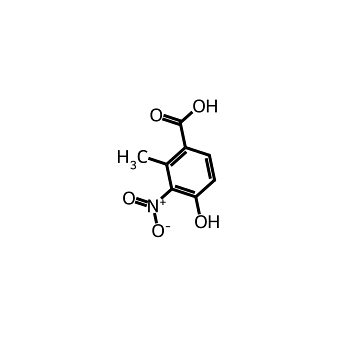 Cc1c(C(=O)O)ccc(O)c1[N+](=O)[O-]